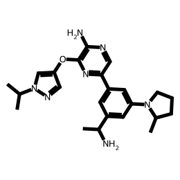 CC(N)c1cc(-c2cnc(N)c(Oc3cnn(C(C)C)c3)n2)cc(N2CCCC2C)c1